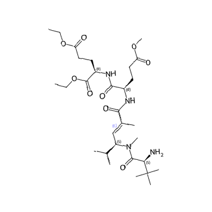 CCOC(=O)CC[C@@H](NC(=O)[C@@H](CCC(=O)OC)NC(=O)/C(C)=C/[C@H](C(C)C)N(C)C(=O)[C@@H](N)C(C)(C)C)C(=O)OCC